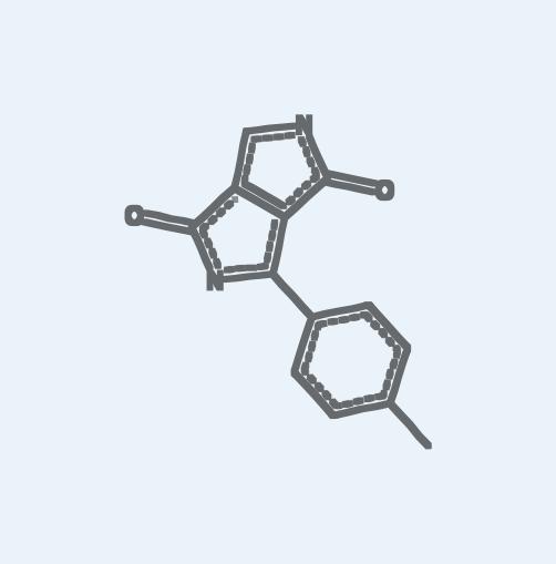 Cc1ccc(-c2nc(=O)c3cnc(=O)c2=3)cc1